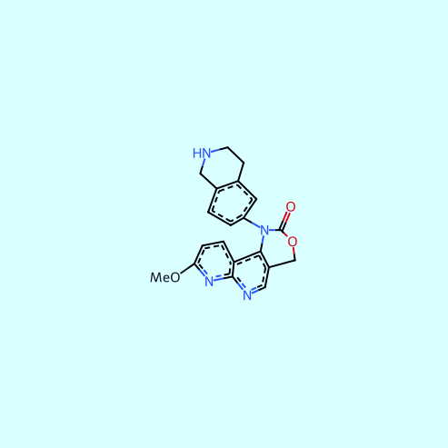 COc1ccc2c3c(cnc2n1)COC(=O)N3c1ccc2c(c1)CCNC2